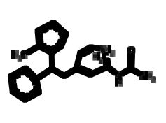 C=C(/C=C(\C=C/N)CC(c1ccccc1)c1ccccc1C)NC(N)=O